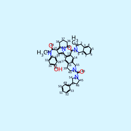 C[C@@H]1Cc2ccccc2CN1C(=O)c1cc2c(cc1-c1cc(C(=O)N(C)c3ccc(O)cc3)c3n1CCCC3)CCN(C(=O)N1CCC(c3ccccc3)C1)C2